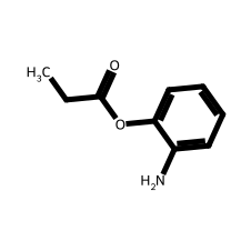 CCC(=O)Oc1ccccc1N